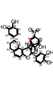 CC(C(=O)O)[C@@H]1[C@H]2c3cc([N+](=O)[O-])ccc3O[C@]1(c1ccc(O)c(O)c1)Oc1ccc3c(c12)O[C@@H](c1ccc(O)c(O)c1)CC3